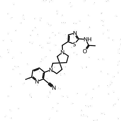 CC(=O)Nc1ncc(CN2CCC3(CCN(c4ccc(C)nc4C#N)C3)C2)s1